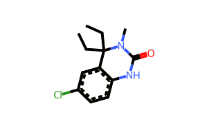 CCC1(CC)c2cc(Cl)ccc2NC(=O)N1C